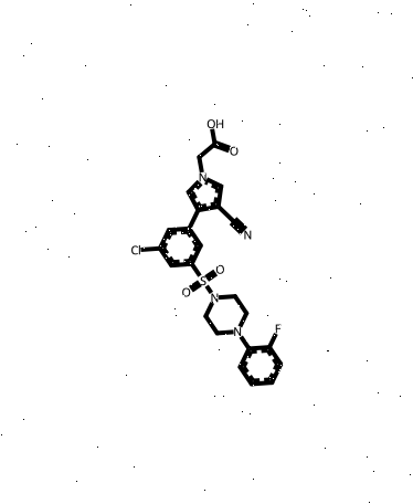 N#Cc1cn(CC(=O)O)cc1-c1cc(Cl)cc(S(=O)(=O)N2CCN(c3ccccc3F)CC2)c1